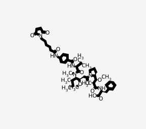 CC[C@H](C)[C@@H]([C@@H](CC(=O)N1CCC[C@H]1[C@H](OC)[C@@H](C)C(=O)N[C@@H](Cc1ccccc1)C(=O)O)OC)N(C)C(=O)[C@@H](NC(=O)c1ccc(NC(=O)CCCCCN2C(=O)C=CC2=O)cc1)C(C)C